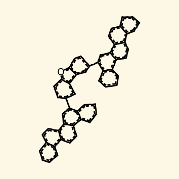 c1ccc2c(c1)ccc1c2ccc2c3ccccc3c(-c3ccc4oc5ccc(-c6cc7c(ccc8c9ccccc9ccc87)c7ccccc67)cc5c4c3)cc21